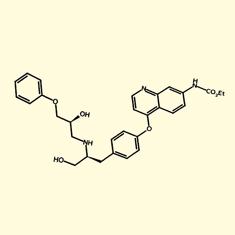 CCOC(=O)Nc1ccc2c(Oc3ccc(C[C@@H](CO)NC[C@H](O)COc4ccccc4)cc3)ccnc2c1